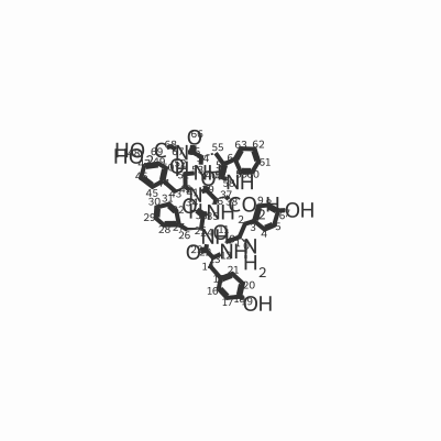 N[C@@H](Cc1ccc(O)cc1)C(=O)N[C@@H](Cc1ccc(O)cc1)C(=O)N[C@@H](Cc1ccccc1)C(=O)N[C@@H](CC(=O)O)C(=O)N[C@@H](Cc1ccc(O)cc1)C(=O)N[C@@H](Cc1c[nH]c2ccccc12)C(=O)NCC(=O)O